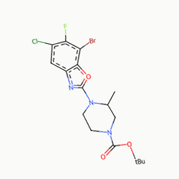 CC1CN(C(=O)OC(C)(C)C)CCN1c1nc2cc(Cl)c(F)c(Br)c2o1